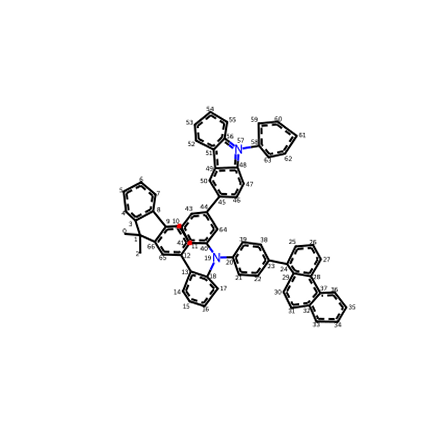 CC1(C)c2ccccc2-c2ccc(-c3ccccc3N(c3ccc(-c4cccc5c4ccc4ccccc45)cc3)c3cccc(-c4ccc5c(c4)c4ccccc4n5-c4ccccc4)c3)cc21